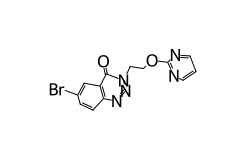 O=c1c2cc(Br)ccc2nnn1CCOc1ncccn1